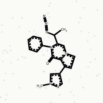 CC(N=[N+]=[N-])c1cn2ccc(-c3cnn(C)c3)c2c(=O)n1-c1ccccc1